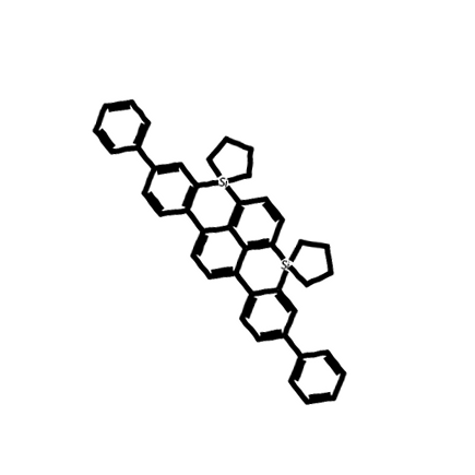 c1ccc(-c2ccc3c(c2)[Si]2(CCCC2)c2ccc4c5c(ccc-3c25)-c2ccc(-c3ccccc3)cc2[Si]42CCCC2)cc1